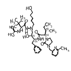 CC[C@H](C)[C@@H](C(=O)N[C@@H](Cc1ccccc1)[C@@H](O)CN(CCCCCO)NC(=O)C(NC(=O)O)C(C)(C)C)N1CCN(Cc2cccc(C)n2)C1=O